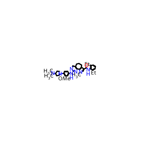 CCc1cccc(CC)c1NC(=O)c1cn(C)c2c1CCCc1cnc(Nc3ccc(N4CCC(N(C)C)CC4)cc3OC)nc1-2